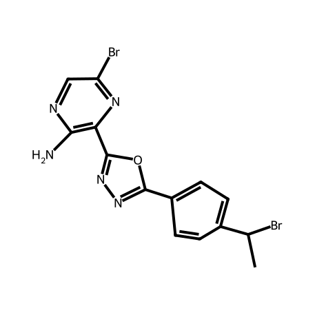 CC(Br)c1ccc(-c2nnc(-c3nc(Br)cnc3N)o2)cc1